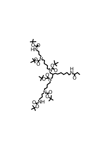 CCC(=O)NCCCCCCC(CN(CCCCN(CCCNC(=O)OC(C)(C)C)C(=O)OC(C)(C)C)C(=O)OC(C)(C)C)CN(CCCCN(CCCNC(=O)OC(C)(C)C)C(=O)OC(C)(C)C)C(=O)OC(C)(C)C